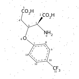 N[C@H](C(=O)O)C(CC(=O)O)Oc1ccc(C(F)(F)F)cc1